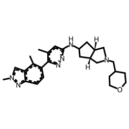 Cc1cc(NC2C[C@@H]3CN(CC4CCOCC4)C[C@@H]3C2)nnc1-c1ccc2nn(C)cc2c1C